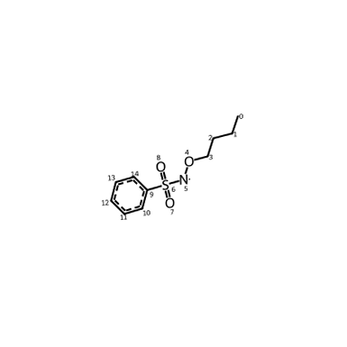 CCCCO[N]S(=O)(=O)c1ccccc1